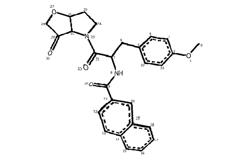 COc1ccc(CC(NC(=O)c2ccc3ccccc3c2)C(=O)N2CCC3OCC(=O)C32)cc1